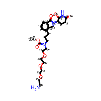 CC(C)(C)OC(=O)N(CCCc1cccc2c1CN(C1CCC(=O)NC1=O)C2=O)CCOCCOCCOCCN